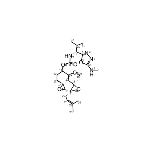 CNc1nnc([C@H](NC(=O)O[C@@H]2CC[C@]3(CO3)[C@@H]([C@@]3(C)O[C@@H]3CC=C(C)C)[C@@H]2OC)C(C)C)o1